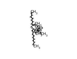 CCCCCCCCCCCSC(CCCCCCCC)C(C)OOC(=O)P(=O)(OCC)OCCC